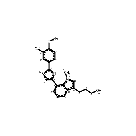 CC(C)Oc1ccc(-c2nc(-c3cccc4c(CCCO)cn(C)c34)no2)cc1Cl